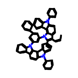 C=Cc1c(/C=C\C)c2ccc3c(c4ccccc4n3-c3ccccc3)c2n1-c1cc(-c2ccccc2)cc(-n2c3ccccc3c3ccc4c(c5ccccc5n4-c4ccccc4)c32)c1